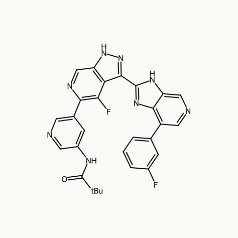 CC(C)(C)C(=O)Nc1cncc(-c2ncc3[nH]nc(-c4nc5c(-c6cccc(F)c6)cncc5[nH]4)c3c2F)c1